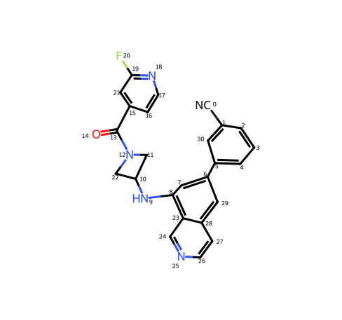 N#Cc1cccc(-c2cc(NC3CN(C(=O)c4ccnc(F)c4)C3)c3cnccc3c2)c1